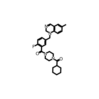 Cc1ccc2c(c1)C=NCN2Cc1ccc(F)c(C(=O)N2CCN(C(=O)C3CCCCC3)CC2)c1